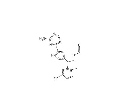 Cc1ccc(Cl)cc1C(COC=O)c1c[nH]c(-c2ccnc(N)n2)c1